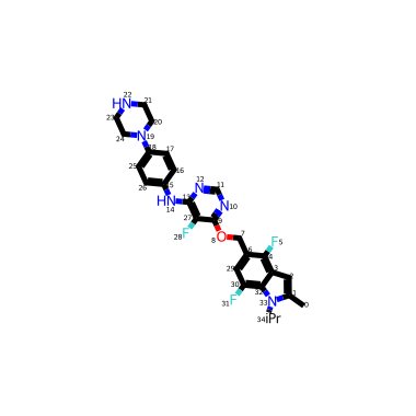 Cc1cc2c(F)c(COc3ncnc(Nc4ccc(N5CCNCC5)cc4)c3F)cc(F)c2n1C(C)C